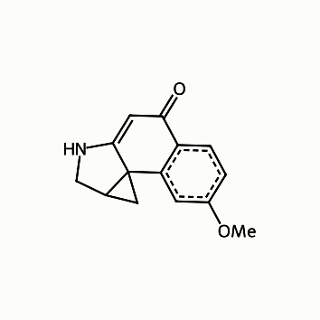 COc1ccc2c(c1)C13CC1CNC3=CC2=O